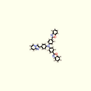 c1ccc2oc(-c3ccc(N(c4ccc(-c5cn6ccccc6n5)cc4)c4ccc(-c5nc6ccccc6o5)cc4)cc3)nc2c1